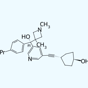 CC(C)c1ccc([C@](O)(c2cncc(C#C[C@H]3CC[C@H](O)CC3)c2)C2(C)CN(C)C2)cc1